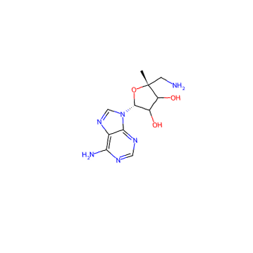 C[C@]1(CN)O[C@@H](n2cnc3c(N)ncnc32)C(O)C1O